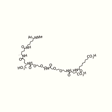 CN[C@@H](CCCCNC(=O)CC[C@@H](C)NC(=O)CC[C@H](NC(=O)COCCOCCNC(=O)COCCOCCNC(=O)CC[C@H](NC(=O)CCCCCCC(=O)O)C(=O)O)C(=O)O)C(C)=O